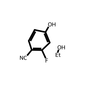 CCO.N#Cc1ccc(O)cc1F